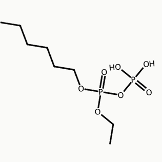 CCCCCCOP(=O)(OCC)OP(=O)(O)O